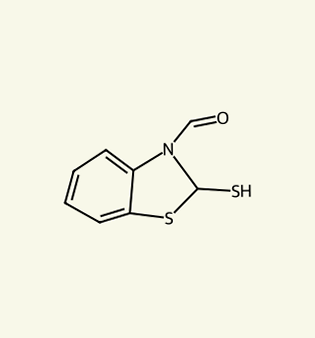 O=CN1c2ccccc2SC1S